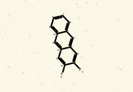 Fc1[c]c2cc3ccccc3cc2cc1F